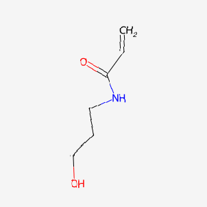 C=CC(=O)NCC[CH]O